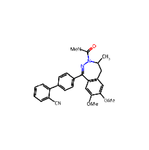 CNC(=O)N1N=C(c2ccc(-c3ccccc3C#N)cc2)c2cc(OC)c(OC)cc2CC1C